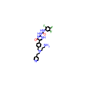 NCCCN(CCc1ccncc1)Cc1ccc(-c2c[nH]c(NC(=O)Nc3cc(F)c(F)cc3F)nc2=O)cc1